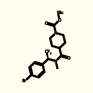 CN(C(=O)C1CCN(C(=O)OC(C)(C)C)CC1)[C@@H](c1ccc(Br)cc1)C(F)(F)F